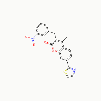 Cc1c(Cc2cccc([N+](=O)[O-])c2)c(=O)oc2cc(-c3nccs3)ccc12